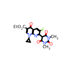 CCOC(=O)c1cn(C2CC2)c2nc(C3C(=O)N(C)C(=O)N(C)C3=O)c(F)cc2c1=O